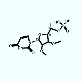 COC1C(OC)[C@@H]([C@H](C)OP(=O)(O)O)O[C@H]1n1ccc(=O)[nH]c1=O